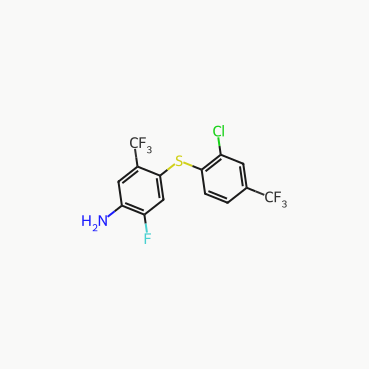 Nc1cc(C(F)(F)F)c(Sc2ccc(C(F)(F)F)cc2Cl)cc1F